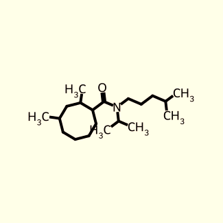 CC(C)CCCN(C(=O)C1CCCCC(C)CC1C)C(C)C